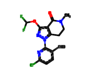 CN1CCc2c(c(OC(F)F)nn2-c2nc(Cl)ccc2C=O)C1=O